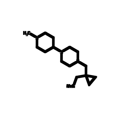 CNCC1(CN2CCN(C3CCN(C)CC3)CC2)CC1